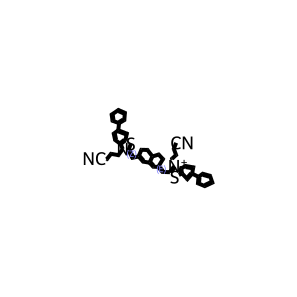 N#CCCCN1/C(=C/C2=CC3=C/C(=C/c4sc5cc(-c6ccccc6)ccc5[n+]4CCCC#N)CCC3CC2)Sc2cc(-c3ccccc3)ccc21